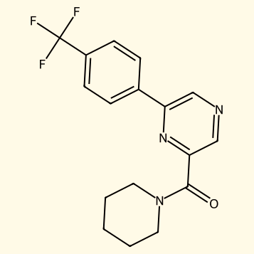 O=C(c1cncc(-c2ccc(C(F)(F)F)cc2)n1)N1CCCCC1